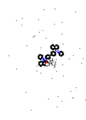 C=C/C(=c1/cccc/c1=C/C)N(c1ccccc1)c1ccc(-c2ccc(N(c3ccccc3)c3cccc4ccccc34)cc2)cc1